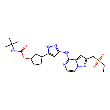 CCS(=O)(=O)Cc1cc2c(Nc3cc(C4CCC(OC(=O)NC(C)(C)C)C4)[nH]n3)nccn2n1